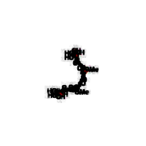 COc1cc(/C=C/C(=O)CC(=O)/C=C/c2ccc(OC(=O)CCCC(=O)OC[C@H]3O[C@H](O)[C@H](O)[C@@H](O)[C@H]3O)c(OC)c2)ccc1OC(=O)CCCC(=O)OC[C@H]1O[C@H](O)[C@H](O)[C@@H](O)[C@H]1O